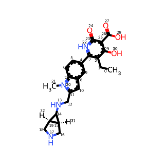 CCc1c(-c2ccc3c(c2)cc(CNC2[C@H]4CNC[C@@H]24)n3C)[nH]c(=O)c(C(=O)O)c1O